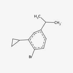 [CH2]C(C)c1ccc(Br)c(C2CC2)c1